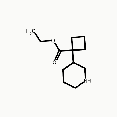 CCOC(=O)C1(C2CCCNC2)CCC1